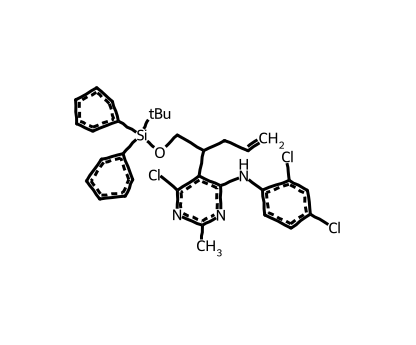 C=CCC(CO[Si](c1ccccc1)(c1ccccc1)C(C)(C)C)c1c(Cl)nc(C)nc1Nc1ccc(Cl)cc1Cl